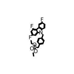 CCOP(=O)(Cc1ccc(Cn2c3ccc(F)cc3c3c(F)cc(F)cc32)cc1)OCC